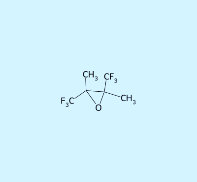 CC1(C(F)(F)F)OC1(C)C(F)(F)F